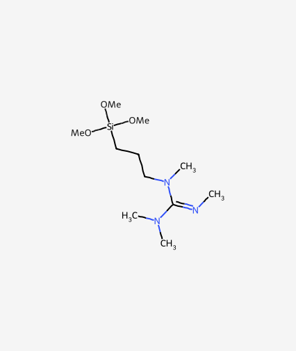 C/N=C(/N(C)C)N(C)CCC[Si](OC)(OC)OC